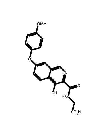 COc1ccc(Oc2ccc3c(O)c(C(=O)[AsH]CC(=O)O)ncc3c2)cc1